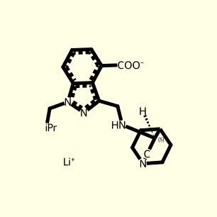 CC(C)Cn1nc(CN[C@@H]2CN3CCC2CC3)c2c(C(=O)[O-])cccc21.[Li+]